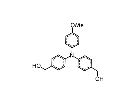 COc1ccc(N(c2ccc(CO)cc2)c2ccc(CO)cc2)cc1